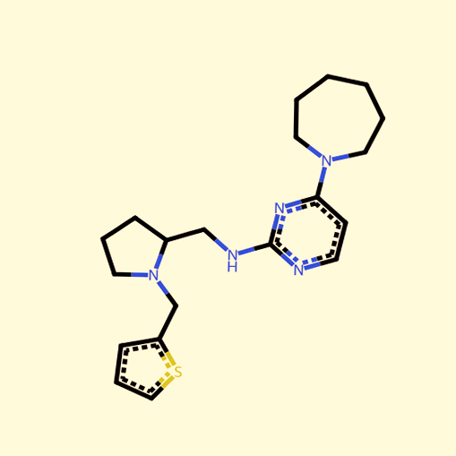 c1csc(CN2CCCC2CNc2nccc(N3CCCCCC3)n2)c1